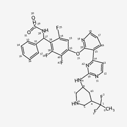 CC(F)(F)C1CNCC(Nc2nccc(-c3cccnc3Oc3cc(F)c(C(N[SH](=O)=O)c4ccccc4)c(F)c3F)n2)C1